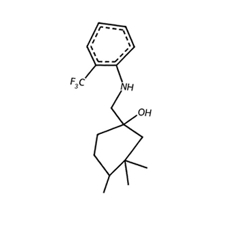 CC1CCC(O)(CNc2ccccc2C(F)(F)F)CC1(C)C